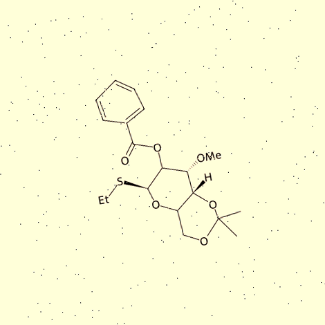 CCS[C@@H]1OC2COC(C)(C)O[C@H]2[C@@H](OC)C1OC(=O)c1ccccc1